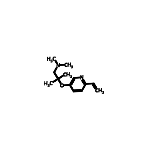 C=Cc1ccc(OC(C)(C)CN(C)C)cn1